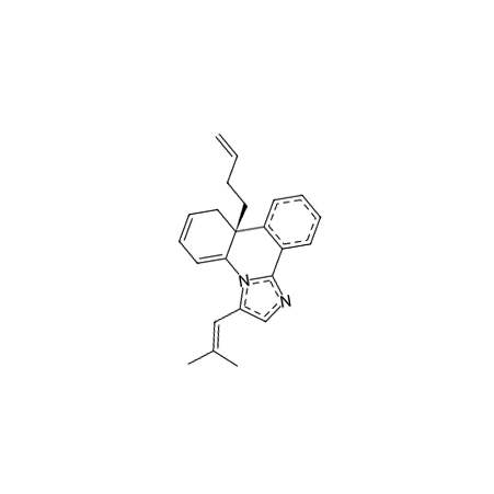 C=CCC[C@]12CC=CC=C1n1c(C=C(C)C)cnc1-c1ccccc12